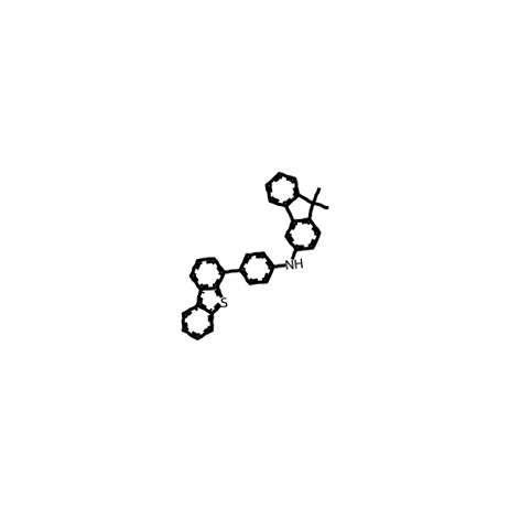 CC1(C)c2ccccc2-c2cc(Nc3ccc(-c4cccc5c4sc4ccccc45)cc3)ccc21